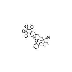 CCC(CC)C(C#N)(CCCC1Cc2c(c(OC)c(OC)c(OC)c2OC)CN1C)C1COc2ccccc2O1